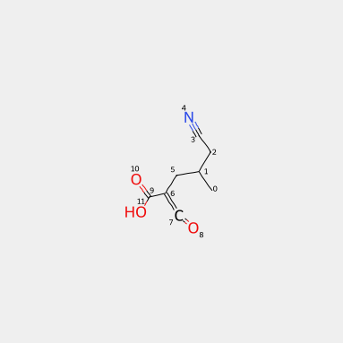 CC(CC#N)CC(=C=O)C(=O)O